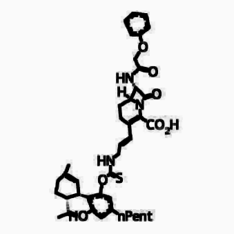 C=C(C)[C@@H]1CCC(C)=C[C@H]1c1c(O)cc(CCCCC)cc1OC(=S)NC/C=C/C1=C(C(=O)O)N2C(=O)[C@@H](NC(=O)COc3ccccc3)[C@H]2CC1